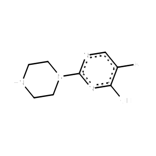 Oc1nc(N2CCNCC2)ncc1Br